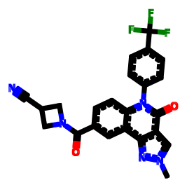 Cn1cc2c(=O)n(-c3ccc(C(F)(F)F)cc3)c3ccc(C(=O)N4CC(C#N)C4)cc3c2n1